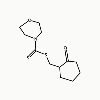 O=C1CCCCC1CSC(=S)N1CCOCC1